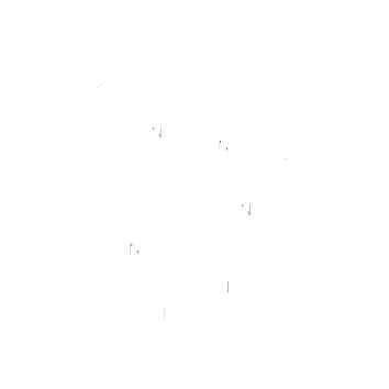 Fc1c(Cl)ncc2c(N3C4CSCC3C4)nc(Cl)nc12